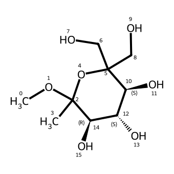 COC1(C)OC(CO)(CO)[C@@H](O)[C@H](O)[C@H]1O